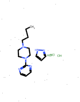 CCCCN1CCN(c2ncccn2)CC1.Cl.Cl.Cl.c1cn[nH]c1